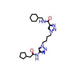 O=C(CC1CCCC1)Nc1cn(CCCCn2cc(C(=O)NCC3CCCCC3)nn2)nn1